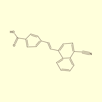 N#Cc1ccc(C=Cc2ccc(C(=O)O)cc2)c2ccccc12